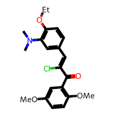 CCOc1ccc(C=C(Cl)C(=O)c2cc(OC)ccc2OC)cc1N(C)C